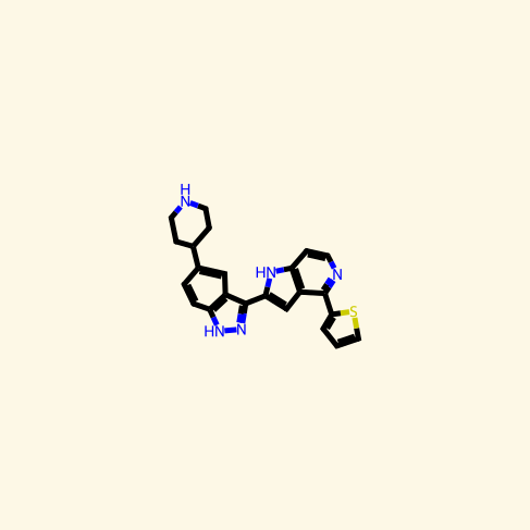 c1csc(-c2nccc3[nH]c(-c4n[nH]c5ccc(C6CCNCC6)cc45)cc23)c1